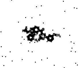 COc1cccc(OC[C@@H](OC(N)=O)C(=O)N2CCC3=NN(CC(F)F)C(=O)[C@]3(Cc3ccccn3)C2)c1